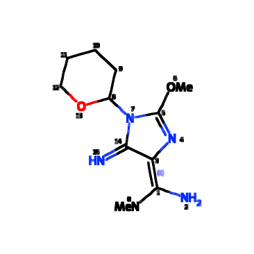 CN/C(N)=C1/N=C(OC)N(C2CCCCO2)C1=N